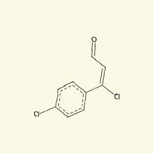 O=C/C=C(/Cl)c1ccc(Cl)cc1